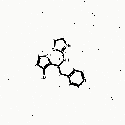 Brc1ccsc1C(Cc1ccncc1)NC1=NCCS1